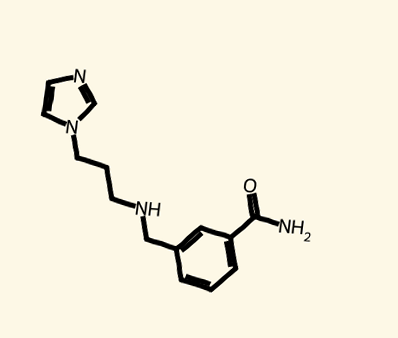 NC(=O)c1cccc(CNCCCn2ccnc2)c1